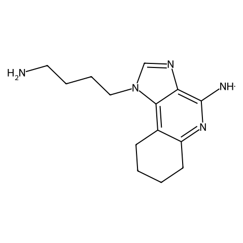 [NH]c1nc2c(c3c1ncn3CCCCN)CCCC2